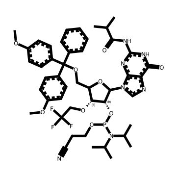 COc1ccc(C(OCC2OC(n3cnc4c(=O)[nH]c(NC(=O)C(C)C)nc43)[C@H](OP(OCCC#N)N(C(C)C)C(C)C)[C@@H]2OCC(F)(F)F)(c2ccccc2)c2ccc(OC)cc2)cc1